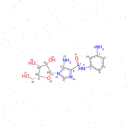 Nc1cccc(NC(=O)c2ncn([C@@H]3O[C@H](CO)C(O)C3O)c2N)c1